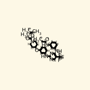 C=CC(=O)Nc1cccc(Nc2nc(Nc3cccc(OC4CCN(C(=O)OC(C)(C)C)CC4)c3)ncc2C(F)(F)F)c1